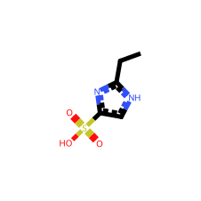 CCc1nc(S(=O)(=O)O)c[nH]1